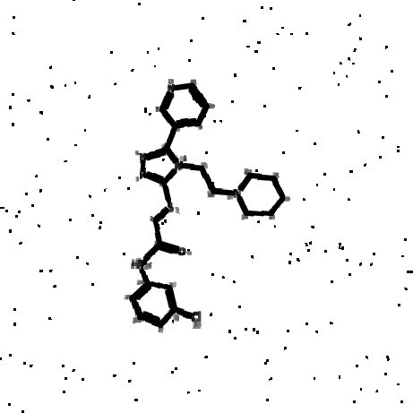 O=C(CSc1nnc(-c2cccnc2)n1CCN1CCCCC1)Nc1cccc(Cl)c1